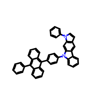 c1ccc(-c2c3ccccc3c(-c3ccc(-n4c5ccccc5c5cc6ccn(-c7ccccc7)c6cc54)cc3)c3ccccc23)cc1